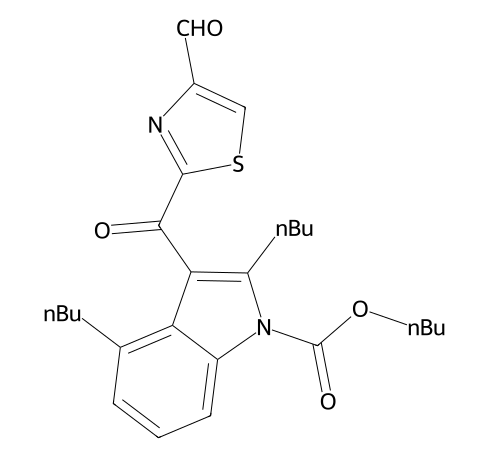 CCCCOC(=O)n1c(CCCC)c(C(=O)c2nc(C=O)cs2)c2c(CCCC)cccc21